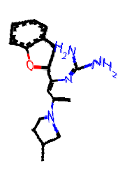 C=C(/C=C(\N=C(N)N)C1Cc2ccccc2O1)N1CCC(C)C1